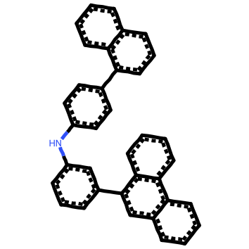 c1cc(Nc2ccc(-c3cccc4ccccc34)cc2)cc(-c2cc3ccccc3c3ccccc23)c1